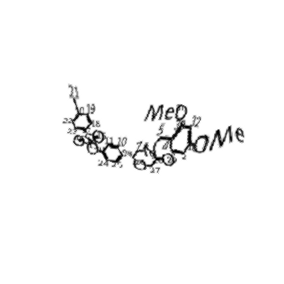 COc1ccc(CN2C[C@@H](c3ccc(OS(=O)(=O)c4ccc(C)cc4)cc3)OCC2=O)c(OC)c1